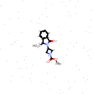 CC(C)(C)OC(=O)N1CC(N2C(=O)c3ccccc3C2C(=O)O)C1